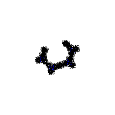 CC1CC(c2ccc(N(c3ccccc3)c3ccc(-c4ccc(-c5ccc(N(c6ccccc6)c6ccc(-c7ccc(N(c8ccccc8)c8ccc(-c9ccccc9)cc8)cc7)cc6)cc5)cc4)cc3)cc2)=CC=C1N(c1ccccc1)c1ccc(-c2ccccc2)cc1